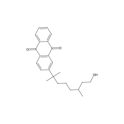 CC(CCO)CCCC(C)(C)c1ccc2c(c1)C(=O)c1ccccc1C2=O